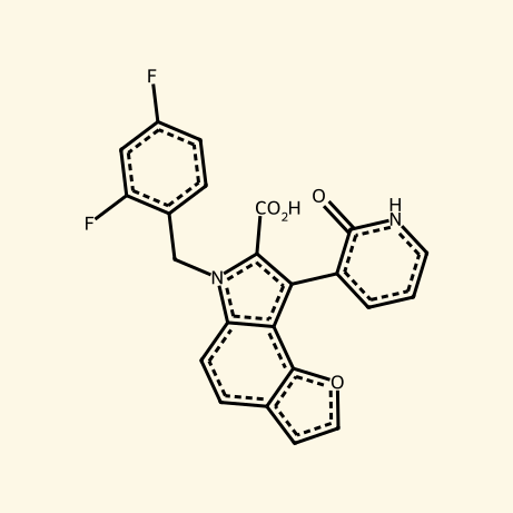 O=C(O)c1c(-c2ccc[nH]c2=O)c2c3occc3ccc2n1Cc1ccc(F)cc1F